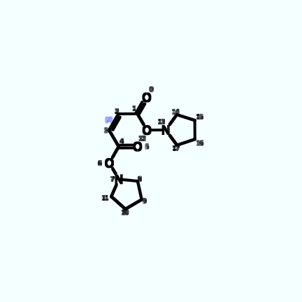 O=C(/C=C\C(=O)ON1CCCC1)ON1CCCC1